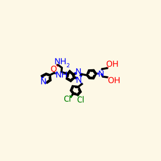 NC(=O)CC(NCc1ccncc1)c1ccc2c(c1)nc(-c1ccc(N(CCO)CCO)cc1)n2Cc1ccc(Cl)c(Cl)c1